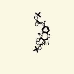 CN1C(=O)C(NC(=O)OC(C)(C)C)COc2ccc(N(C)C3OC3OC(C)(C)C)cc21